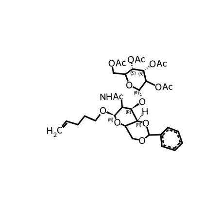 C=CCCCO[C@@H]1OC2COC(c3ccccc3)O[C@@H]2[C@H](O[C@@H]2OC(COC(C)=O)[C@H](OC(C)=O)[C@H](OC(C)=O)C2OC(C)=O)C1NC(C)=O